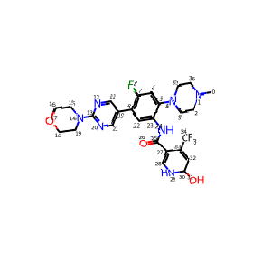 CN1CCN(c2cc(F)c(-c3cnc(N4CCOCC4)nc3)cc2NC(=O)C2=CNC(O)C=C2C(F)(F)F)CC1